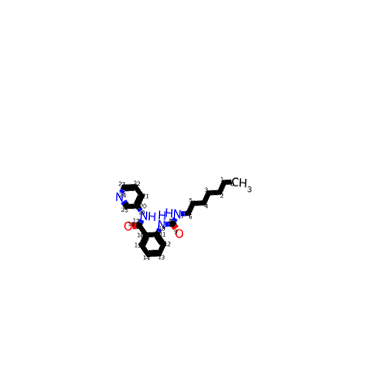 CCCCCCCNC(=O)Nc1ccccc1C(=O)Nc1cccnc1